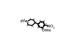 COc1cc(C2CCN(C(C)C)CC2)ccc1[N+](=O)[O-]